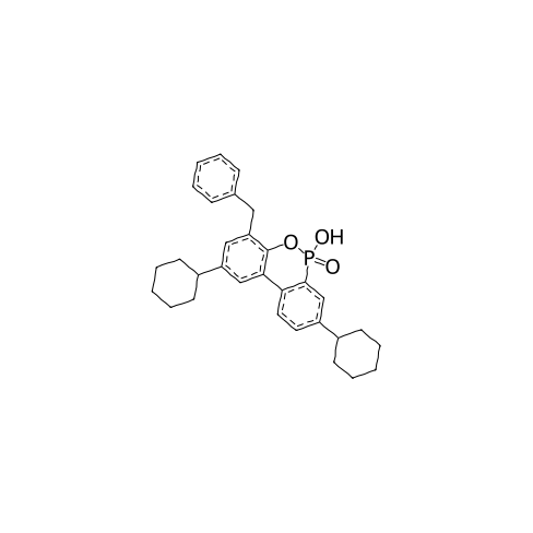 O=P1(O)Oc2c(Cc3ccccc3)cc(C3CCCCC3)cc2-c2ccc(C3CCCCC3)cc21